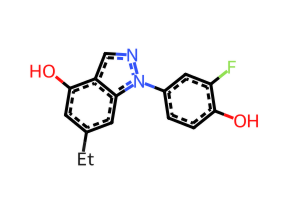 CCc1cc(O)c2cnn(-c3ccc(O)c(F)c3)c2c1